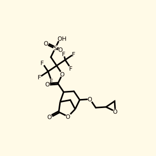 O=C1OC2CC1C(C(=O)OC(CS(=O)(=O)O)(C(F)(F)F)C(F)(F)F)CC2OCC1CO1